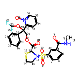 CNC(=O)c1cccc(S(=O)(=O)N2CCS[C@H]2C(=O)OCC(OC(F)F)(c2ccccc2)c2cccc[n+]2[O-])c1